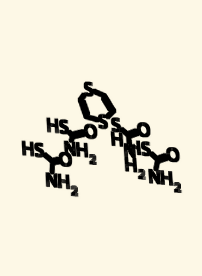 C1=CSC=CS1.NC(=O)S.NC(=O)S.NC(=O)S.NC(=O)S